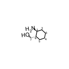 NC1CCCC[C@@H]1CO